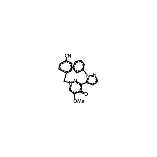 COc1cn(Cc2ccc(C#N)cc2)nc(-c2ccnn2-c2ccccc2)c1=O